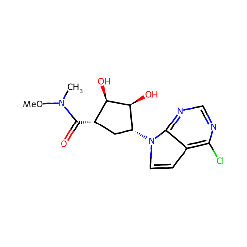 CON(C)C(=O)[C@H]1C[C@@H](n2ccc3c(Cl)ncnc32)[C@H](O)[C@@H]1O